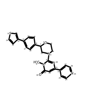 Cn1c(N2CCOC(c3ccc(-c4ccsc4)cc3)C2)nc(-c2ccncc2)cc1=O